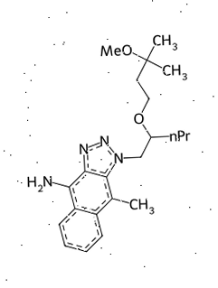 CCCC(Cn1nnc2c(N)c3ccccc3c(C)c21)OCCC(C)(C)OC